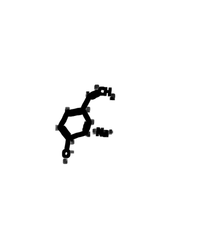 C=Cc1ccc([O-])cc1.[Na+]